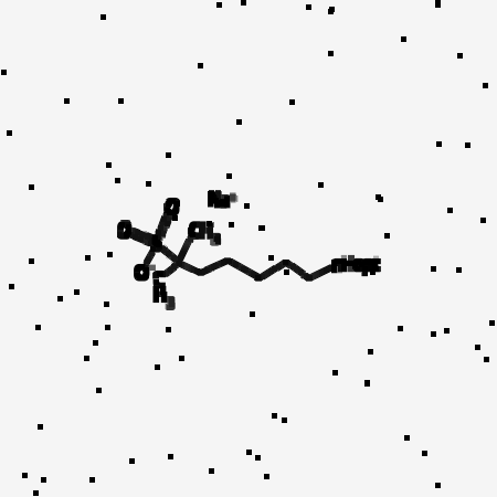 CCCCCCCCCCCCC(C)(C)S(=O)(=O)[O-].[Na+]